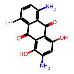 CC(C)c1ccc(N)c2c1C(=O)c1c(O)c(N)cc(O)c1C2=O